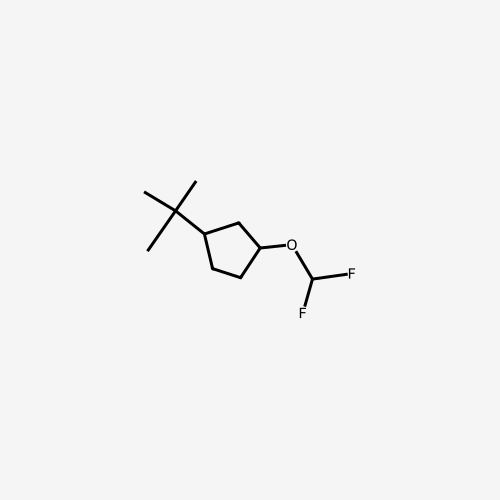 CC(C)(C)C1CCC(OC(F)F)C1